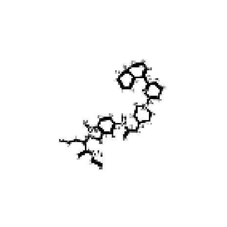 C=CNC(=C)C(CCC)N1Cc2cc(NC(=C)CC3CCN(c4cccc(-c5cccc6ccccc56)n4)CC3)ccc2N1C